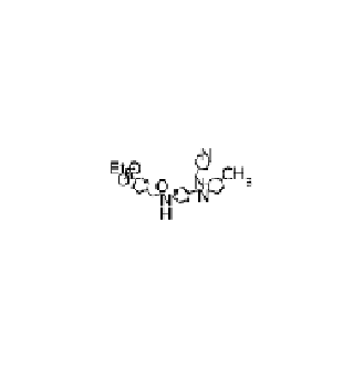 CCS(=O)(=O)c1ccc(CC(=O)Nc2ccc(-c3nc4ccc(C)cc4n3Cc3ccncc3)cc2)cc1